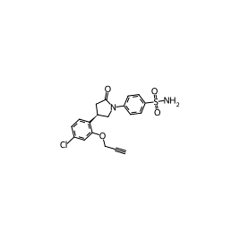 C#CCOc1cc(Cl)ccc1[C@H]1CC(=O)N(c2ccc(S(N)(=O)=O)cc2)C1